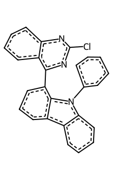 Clc1nc(-c2cccc3c4ccccc4n(-c4ccccc4)c23)c2ccccc2n1